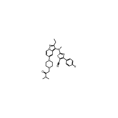 CCc1nn2ccc(N3CCN(CC(=O)N(C)C)CC3)cc2c1N(C)c1nc(-c2ccc(F)cc2)c(C#N)s1